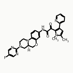 Cc1cc(-c2ccccn2)c(C(=O)C(=O)Nc2ccc3c(c2)OC[C@H]2CN(c4ncc(F)cn4)CCN32)n1C